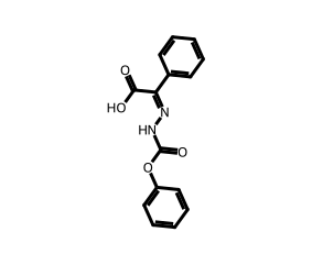 O=C(NN=C(C(=O)O)c1ccccc1)Oc1ccccc1